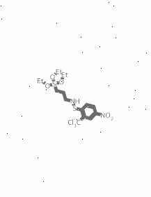 CCO[Si](CCCNSc1ccc([N+](=O)[O-])cc1C(Cl)(Cl)Cl)(OCC)OCC